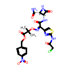 CC(C)(ON=C(C(=O)N[C@H]1C(=O)N[C@H]1C(N)=O)c1csc(NC(=O)CCl)n1)C(=O)OCc1ccc([N+](=O)[O-])cc1